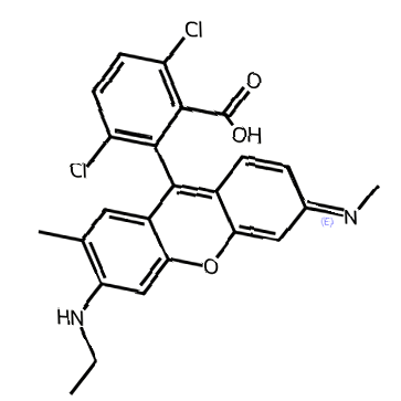 CCNc1cc2oc3c/c(=N/C)ccc-3c(-c3c(Cl)ccc(Cl)c3C(=O)O)c2cc1C